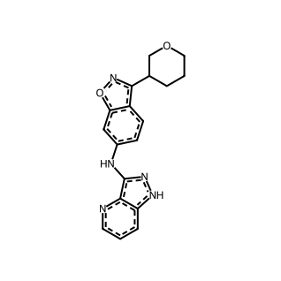 c1cnc2c(Nc3ccc4c(C5CCCOC5)noc4c3)n[nH]c2c1